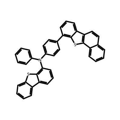 c1ccc(N(c2ccc(-c3cccc4c3sc3c5ccccc5ccc43)cc2)c2cccc3c2sc2ccccc23)cc1